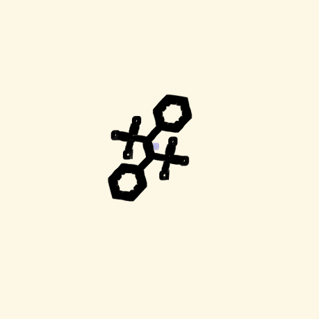 O=S(=O)(Cl)/C(=C(\c1ccccc1)S(=O)(=O)Cl)c1ccccc1